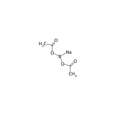 CC(=O)O[B]([Na])OC(C)=O